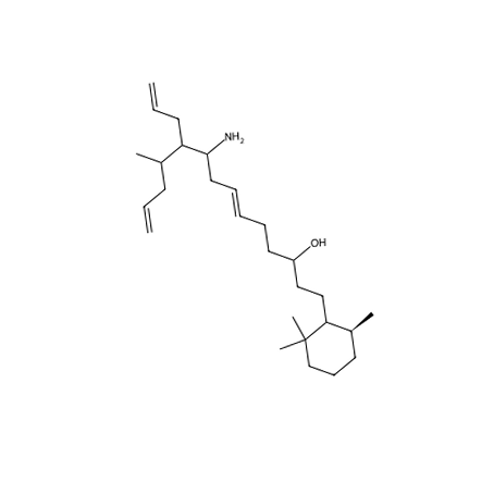 C=CCC(C)C(CC=C)C(N)C/C=C/CCC(O)CCC1[C@@H](C)CCCC1(C)C